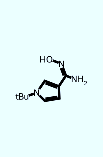 CC(C)(C)n1ccc(/C(N)=N\O)c1